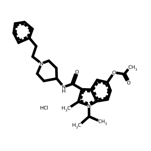 CC(=O)Oc1ccc2c(c1)c(C(=O)NC1CCN(CCc3ccccc3)CC1)c(C)n2C(C)C.Cl